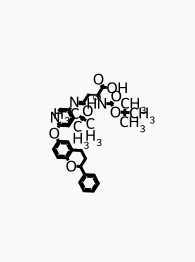 CC(C)(C)OC(=O)N[C@@H](CC(=Nc1ccc(Oc2ccc3c(c2)CCC(c2ccccc2)O3)nc1)OC(C)(C)C)C(=O)O